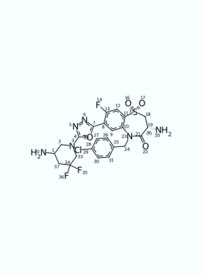 NC1CN(c2nnc(-c3cc4c(cc3F)S(=O)(=O)C[C@H](N)C(=O)N4Cc3ccc(Cl)cc3)o2)CC(F)(F)C1